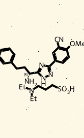 CCN(CC)CCCS(=O)(=O)O.COc1ccc(-c2n[nH]c([C@H](N)CCc3ccccc3)n2)cc1C#N